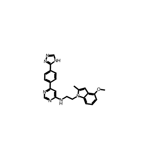 COc1cccc2c1cc(C)n2CCNc1cc(-c2ccc(-c3nnc[nH]3)cc2)ncn1